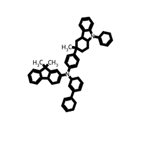 CC1(c2ccc(N(C3=CCC4C(=C3)C(C)(C)c3ccccc34)C3C=C(C4=CC=CCC4)C=CC3)cc2)CCC2C(C1)c1ccccc1N2C1=CC=CCC1